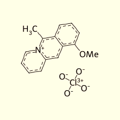 COc1cccc2c(C)[n+]3ccccc3cc12.[O-][Cl+3]([O-])([O-])[O-]